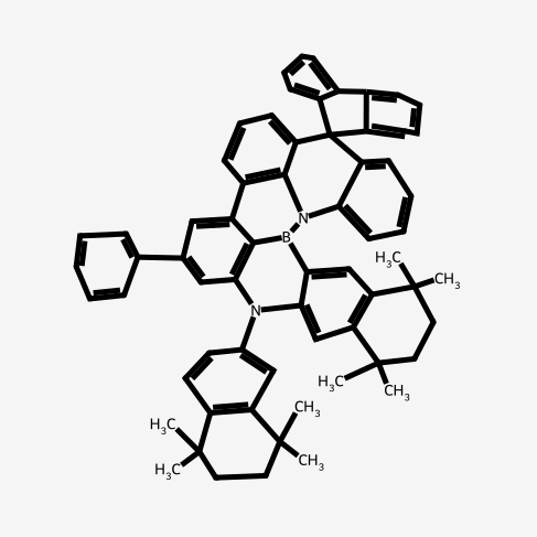 CC1(C)CCC(C)(C)c2cc(N3c4cc5c(cc4B4c6c(cc(-c7ccccc7)cc63)-c3cccc6c3N4c3ccccc3C63c4ccccc4-c4ccccc43)C(C)(C)CCC5(C)C)ccc21